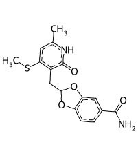 CSc1cc(C)[nH]c(=O)c1CC1Oc2ccc(C(N)=O)cc2O1